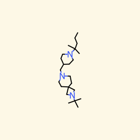 CCCC(C)(C)N1CCC(CN2CCC3(CC2)CN(C(C)(C)C)C3)CC1